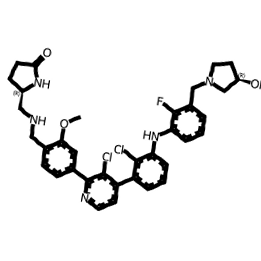 COc1cc(-c2nccc(-c3cccc(Nc4cccc(CN5CC[C@@H](O)C5)c4F)c3Cl)c2Cl)ccc1CNC[C@H]1CCC(=O)N1